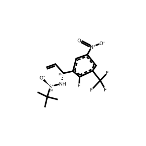 C=C[C@@H](N[S@+]([O-])C(C)(C)C)c1cc([N+](=O)[O-])cc(C(F)(F)F)c1F